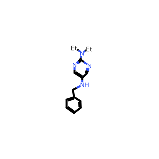 CCN(CC)c1ncc(NCc2ccccc2)cn1